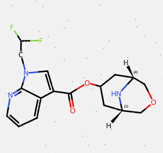 O=C(OC1C[C@H]2COC[C@@H](C1)N2)c1cn(CC(F)F)c2ncccc12